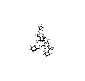 O=C(Cc1cccs1)NC1C(=O)N2C(C(=O)OCc3ccccc3)C(CSC(=O)c3ccccc3)=CS[C@@H]12